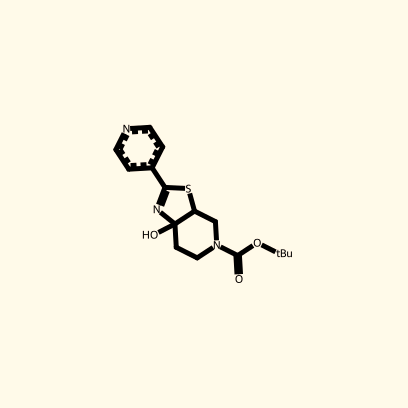 CC(C)(C)OC(=O)N1CCC2(O)N=C(c3ccncc3)SC2C1